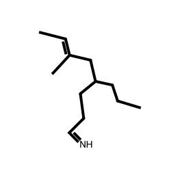 C/C=C(\C)CC(CCC)CCC=N